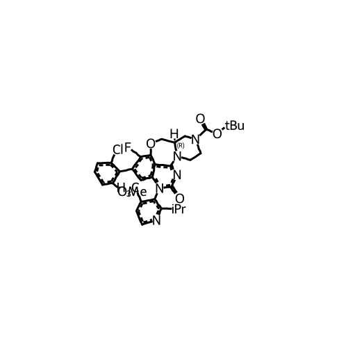 COc1cccc(Cl)c1-c1cc2c3c(nc(=O)n2-c2c(C)ccnc2C(C)C)N2CCN(C(=O)OC(C)(C)C)C[C@@H]2COc3c1F